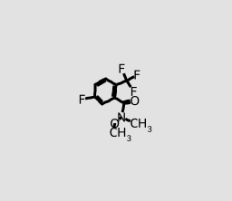 CON(C)C(=O)c1cc(F)ccc1C(F)(F)F